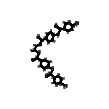 CCc1ccc(C(=O)Oc2ccc(C(=O)OCC(C)OC(=O)c3ccc(OC(=O)c4ccc(CC)cc4)cc3)cc2)cc1